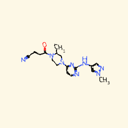 CC1CN(c2ccnc(Nc3cnn(C)c3)n2)CCN1C(=O)CCC#N